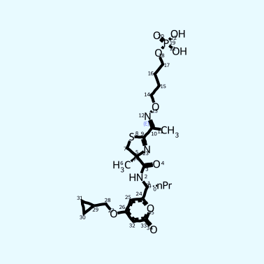 CCC[C@@H](NC(=O)[C@]1(C)CSC(/C(C)=N/OCCCCOP(=O)(O)O)=N1)c1cc(OCC2CC2)cc(=O)o1